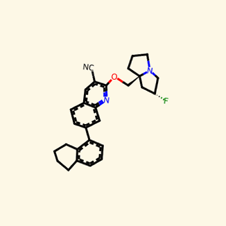 N#Cc1cc2ccc(-c3cccc4c3CCCC4)cc2nc1OC[C@@]12CCCN1C[C@H](F)C2